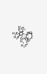 CCCOC1(OCCC)CCCCCCCC1.Cc1ccc(P)c(C)c1C.Cl